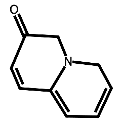 O=C1C=CC2=CC=CCN2C1